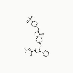 CC(C)OC(=O)N1CC(c2ccccc2)[C@@H](CN2CCC3(CC2)CCN(Cc2ccc(S(C)(=O)=O)cc2)C3=O)C1